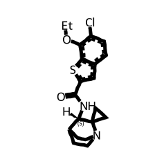 CCOc1c(Cl)ccc2cc(C(=O)N[C@H]3C4CCN(CC4)C34CC4)sc12